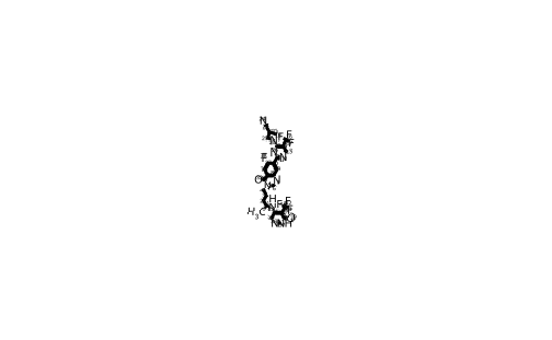 C[C@@H](CCCn1cnc2cc(-c3ncc(C(F)(F)F)c(N4CC(C#N)C4)n3)c(F)cc2c1=O)Nc1cn[nH]c(=O)c1C(F)(F)F